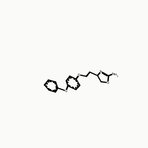 NC1=NC(CCOc2ccc(Oc3ccccc3)cc2)CO1